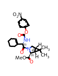 COC(=O)[C@@H]1[C@@H]2[C@H](CN1C(=O)[C@@H](NC(=O)Oc1ccc([N+](=O)[O-])cc1)C1=CCCCC1)C2(C)C